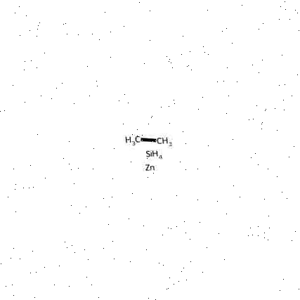 CC.[SiH4].[Zn]